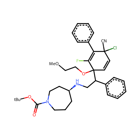 COCCOC1(C(CN[C@H]2CCCN(C(=O)OC(C)(C)C)CC2)c2ccccc2)C=CC(Cl)(C#N)C(c2ccccc2)=C1F